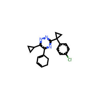 Clc1ccc(C2(c3nnc(C4CC4)c(C4=CC=CCC4)n3)CC2)cc1